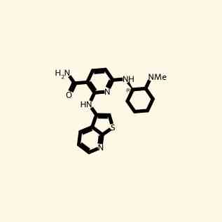 CNC1CCCC[C@H]1Nc1ccc(C(N)=O)c(Nc2csc3ncccc23)n1